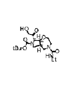 CCNC(=O)N1CCO[C@@H]2[C@@H](C1)CN(C(=O)OC(C)(C)C)[C@@H]2C(=O)CO